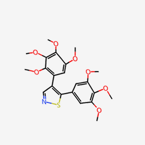 COc1cc(-c2sncc2-c2cc(OC)c(OC)c(OC)c2OC)cc(OC)c1OC